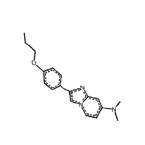 CCCOc1ccc(-c2cn3ccc(N(C)C)cc3n2)cc1